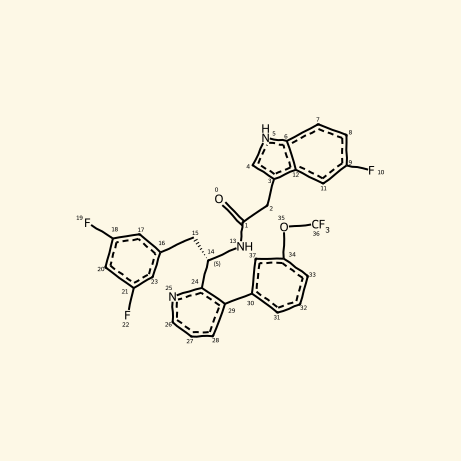 O=C(Cc1c[nH]c2ccc(F)cc12)N[C@@H](Cc1cc(F)cc(F)c1)c1ncccc1-c1cccc(OC(F)(F)F)c1